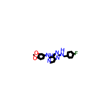 Fc1ccc(CNc2ncc3c(Nc4ccc5c(c4)OCO5)nccc3n2)cc1